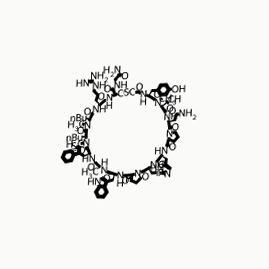 C#C[C@H]1C(=O)N[C@@H](CC(N)=O)C(=O)N2CCCC2C(=O)N[C@@H](Cc2cnc[nH]2)C(=O)N[C@@H](CC(C)C)C(=O)N2CCC[C@@H]2C(=O)N[C@@H](Cc2c[nH]c3ccccc23)C(=O)N[C@@H](C)C(=O)N[C@@H](Cc2csc3ccccc23)C(=O)N(C)[C@@H](CCCC)C(=O)N(C)[C@@H](CCCC)C(=O)N[C@@H](CCCNC(=N)N)C(=O)NC(C(=O)NCC(N)=O)CSCC(=O)N[C@@H](Cc2ccc(O)cc2)C(=O)N1C